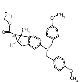 CCOC(=O)[C@@H]1[C@@H]2Cc3cc(N(Cc4ccc(OC)cc4)Cc4ccc(OC)cc4)ncc3C12C